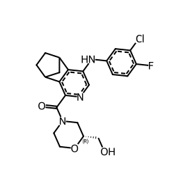 O=C(c1ncc(Nc2ccc(F)c(Cl)c2)c2c1C1CCC2C1)N1CCO[C@@H](CO)C1